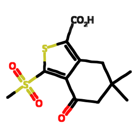 CC1(C)CC(=O)c2c(S(C)(=O)=O)sc(C(=O)O)c2C1